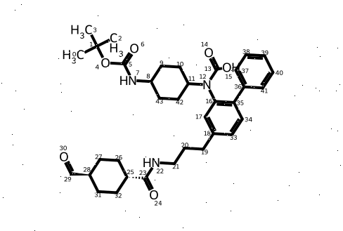 CC(C)(C)OC(=O)NC1CCC(N(C(=O)O)c2cc(CCCNC(=O)[C@H]3CC[C@H](C=O)CC3)ccc2-c2ccccc2)CC1